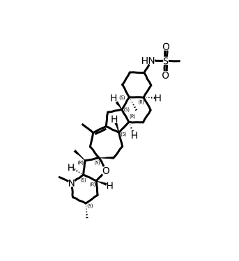 CC1=C2C[C@H]3[C@@H](CC[C@@H]4CC(NS(C)(=O)=O)CC[C@@]43C)[C@@H]2CC[C@@]2(C1)O[C@@H]1C[C@H](C)CN(C)[C@H]1[C@H]2C